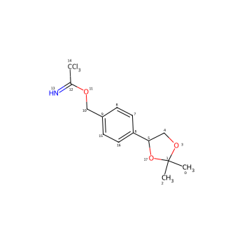 CC1(C)OCC(c2ccc(COC(=N)C(Cl)(Cl)Cl)cc2)O1